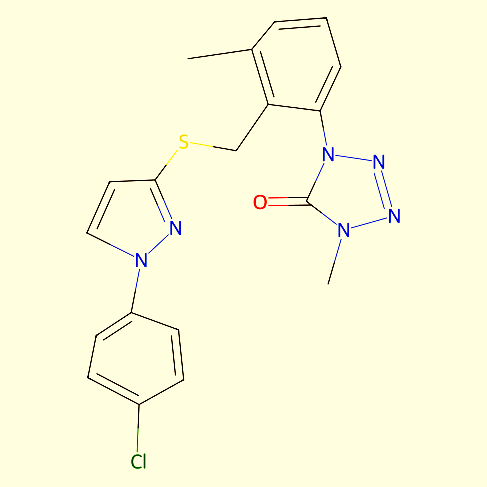 Cc1cccc(-n2nnn(C)c2=O)c1CSc1ccn(-c2ccc(Cl)cc2)n1